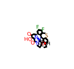 O=C1c2c(O)c(=O)ccn2N(C2c3ccccc3SCc3c2ccc(F)c3F)[C@@H]2[C@H]3C[C@@H]4CC[C@@]3(CCN12)O4